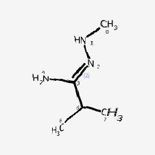 CN/N=C(\N)C(C)C